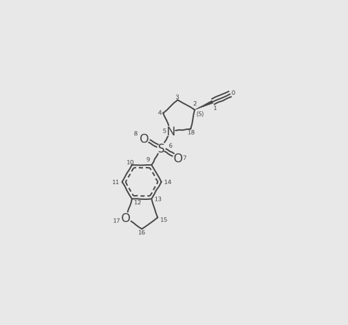 C#C[C@@H]1CCN(S(=O)(=O)c2ccc3c(c2)CCO3)C1